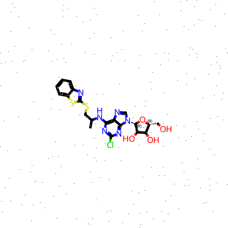 CC(CSc1nc2ccccc2s1)Nc1nc(Cl)nc2c1ncn2[C@@H]1O[C@H](CO)C(O)C1O